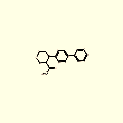 COC(=O)C1COCCC1c1ccc(-c2ccccc2)cc1